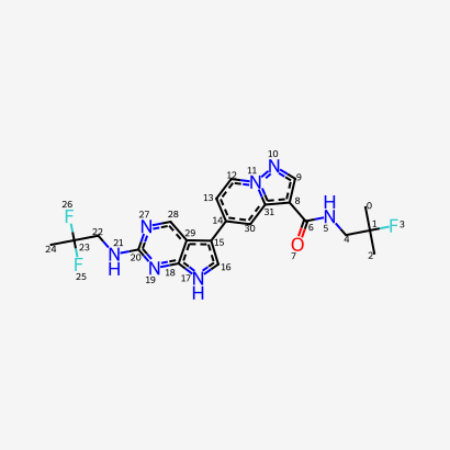 CC(C)(F)CNC(=O)c1cnn2ccc(-c3c[nH]c4nc(NCC(C)(F)F)ncc34)cc12